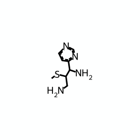 CSC(CN)C(N)c1ccncn1